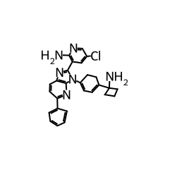 Nc1ncc(Cl)cc1-c1nc2ccc(-c3ccccc3)nc2n1C1=CC=C(C2(N)CCC2)CC1